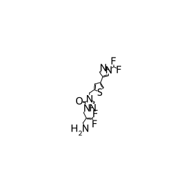 NCC(Cn1ncn(Cc2cc(-c3cnn(C(F)F)c3)cs2)c1=O)=C(F)F